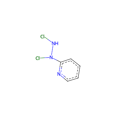 ClNN(Cl)c1ccccn1